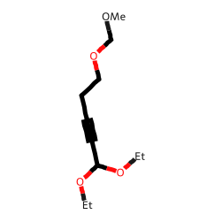 CCOC(C#CCCOCOC)OCC